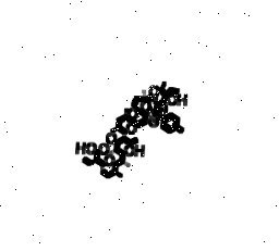 CCC(C(=O)[C@@H](C)[C@@H](O)[C@H](C)[C@@H]1O[C@@H]([C@@H](CC)C(=O)O)CC[C@@H]1C)[C@H]1O[C@]2(C=C[C@@H](NS(=O)(=O)c3ccc(C)cc3)[C@]3(CC[C@@](C)([C@H]4CC[C@](O)(CC)[C@H](C)O4)O3)O2)[C@H](C)C[C@@H]1C